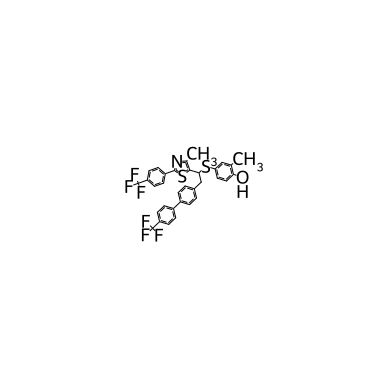 Cc1cc(SC(Cc2ccc(-c3ccc(C(F)(F)F)cc3)cc2)c2sc(-c3ccc(C(F)(F)F)cc3)nc2C)ccc1O